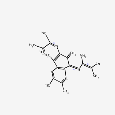 C=C(C)/C(C#N)=N\C1=C(C)c2nc(C#N)c(C)nc2/C(=N/C(N)=C(\C)C#N)C1=C